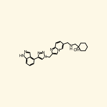 OC1(CNCc2ccc3nc(Cn4cc(-c5cccc6[nH]ncc56)nn4)cn3c2)CCCCC1